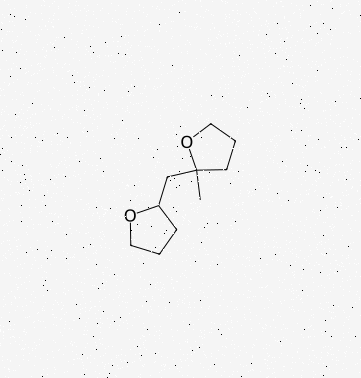 CC1(CC2CCCO2)CCCO1